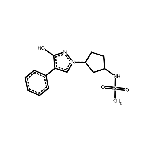 CS(=O)(=O)NC1CCC(n2cc(-c3ccccc3)c(O)n2)C1